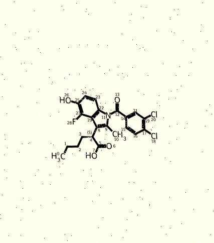 CCCC[C@H](C(=O)O)c1c(C)n(C(=O)c2ccc(Cl)c(Cl)c2)c2ccc(O)c(F)c12